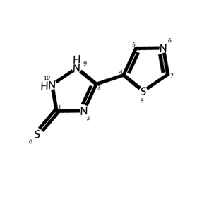 S=c1nc(-c2cncs2)[nH][nH]1